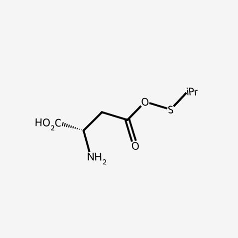 CC(C)SOC(=O)C[C@H](N)C(=O)O